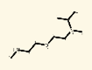 CNCCOCCN(C)C(C)C